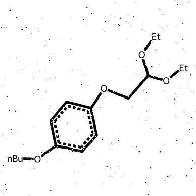 CCCCOc1ccc(OCC(OCC)OCC)cc1